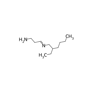 CCCCC(CC)CN=CCCN